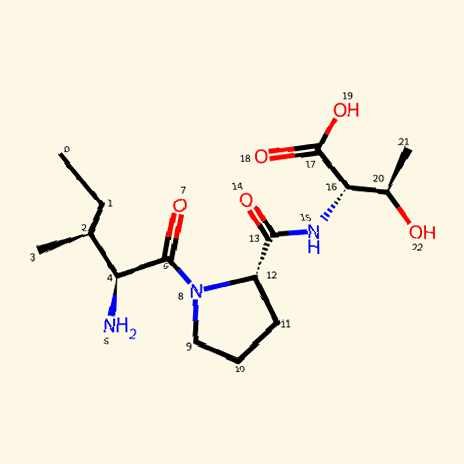 CC[C@H](C)[C@H](N)C(=O)N1CCC[C@H]1C(=O)N[C@H](C(=O)O)[C@@H](C)O